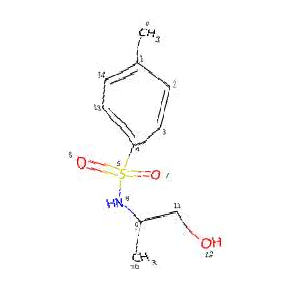 Cc1ccc(S(=O)(=O)NC(C)CO)cc1